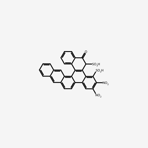 O=C1c2ccccc2-c2c(c3c(S(=O)(=O)O)c([N+](=O)[O-])c([N+](=O)[O-])cc3c3ccc4cc5ccccc5cc4c23)C1S(=O)(=O)O